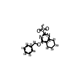 CS(=O)(=O)c1nc2c(c(OCc3ccccc3)n1)CCCC2